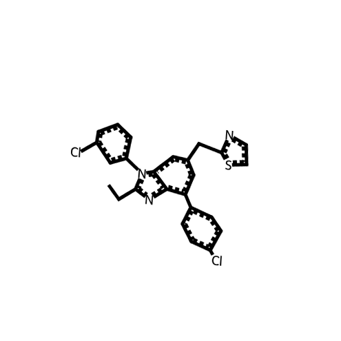 CCc1nc2c(-c3ccc(Cl)cc3)cc(Cc3nccs3)cc2n1-c1cccc(Cl)c1